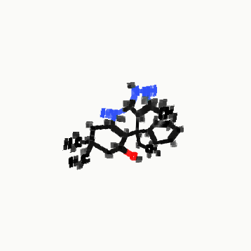 CCC1(c2ccccc2)C2=C(CC(C)(C)CC2=O)Nc2n[nH]c(C)c21